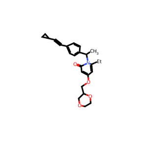 CCc1cc(OCC2COCCO2)cc(=O)n1C(C)c1ccc(C#CC2CC2)cc1